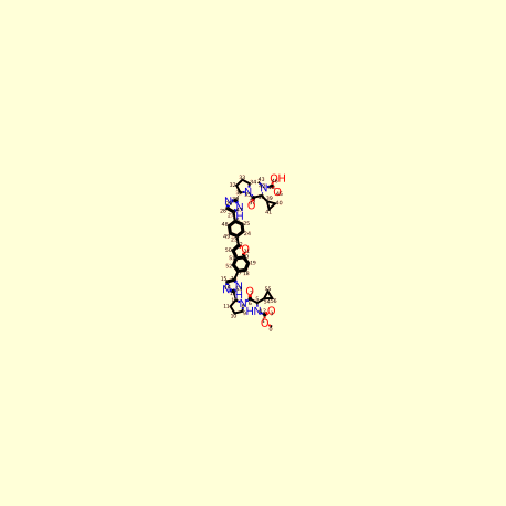 COC(=O)N[C@@H](C(=O)N1CCC[C@H]1c1ncc(-c2ccc3oc(-c4ccc(-c5cnc([C@@H]6CCCN6C(=O)[C@@H](C6CC6)N(C)C(=O)O)[nH]5)cc4)cc3c2)[nH]1)C1CC1